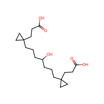 O=C(O)CCC1(CCCC(O)CCCC2(CCC(=O)O)CC2)CC1